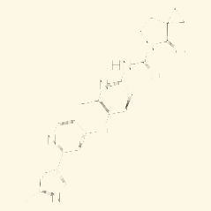 Cc1ncc(-c2cc(Oc3ccc(NC(=O)N4CCC5(CC5)C4=O)nc3C)ccn2)s1